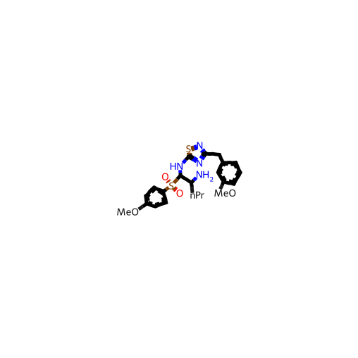 CCCC(N)C(Nc1nc(Cc2cccc(OC)c2)ns1)S(=O)(=O)c1ccc(OC)cc1